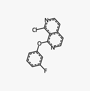 Fc1cccc(Oc2nccc3ccnc(Cl)c23)c1